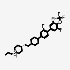 CCC[Si@H]1CC[C@H](CCC2CCC(c3ccc(-c4cc(F)c(OC(F)(F)F)c(F)c4)c(F)c3)CC2)CC1